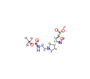 COC(=O)c1cc([C@@H]2CCN(CCNC(=O)OC(C)(C)C)C2)no1